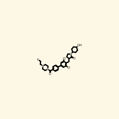 O=C(c1ccc(-c2cc(Cl)c(CC3CCN(C4CCC(O)CC4)C3=O)c(Cl)c2)cc1)N1CCN(CCF)CC1